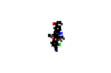 CC(=O)c1ccc(N[C@H]2C(C)(C)[C@H](Oc3ccc(C#N)c(Cl)c3)C2(C)C)cc1